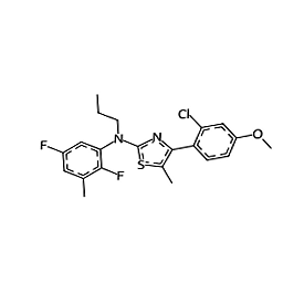 CCCN(c1nc(-c2ccc(OC)cc2Cl)c(C)s1)c1cc(F)cc(C)c1F